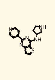 c1cc(-c2nc(N[C@@H]3CCNC3)c3sccc3n2)ccn1